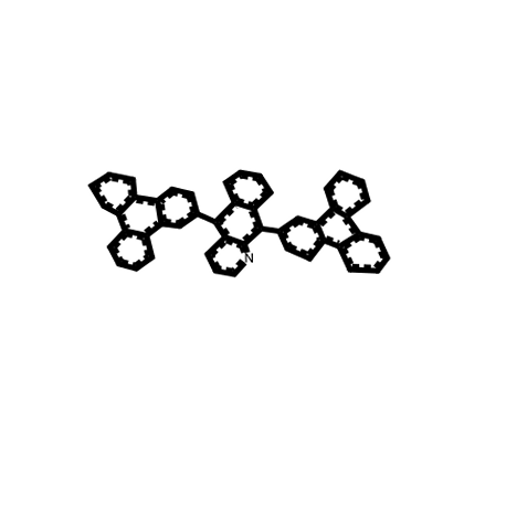 c1ccc2c(-c3ccc4c5ccccc5c5ccccc5c4c3)c3ncccc3c(-c3ccc4c5ccccc5c5ccccc5c4c3)c2c1